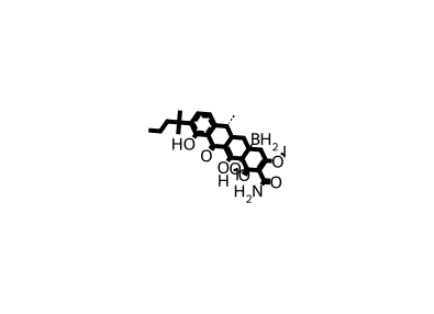 B[C@]12CC(OI)=C(C(N)=O)C(=O)[C@@]1(OI)C(O)=C1C(=O)c3c(ccc(C(C)(C)CCC)c3O)[C@H](C)C1C2